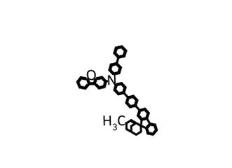 CC1C=C2CC(CCC23c2ccccc2-c2ccc(-c4ccc(-c5ccc(N(c6ccc(-c7ccccc7)cc6)c6ccc7c(c6)oc6ccccc67)cc5)cc4)cc23)C1